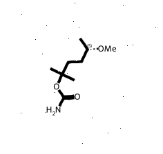 CO[C@@H](C)CCC(C)(C)OC(N)=O